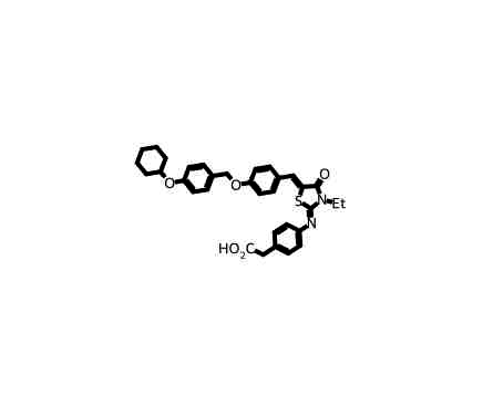 CCN1C(=O)C(=Cc2ccc(OCc3ccc(OC4CCCCC4)cc3)cc2)SC1=Nc1ccc(CC(=O)O)cc1